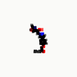 CNC(=O)COc1ccc(C(C)CNCC(O)c2coc(C)n2)cc1